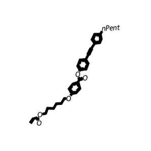 C=CC(=O)OCCCCCCOc1ccc(C(=O)Oc2ccc(C#Cc3ccc(CCCCC)cc3)cc2)cc1